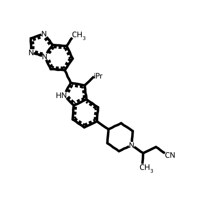 Cc1cc(-c2[nH]c3ccc(C4CCN(C(C)CC#N)CC4)cc3c2C(C)C)cn2ncnc12